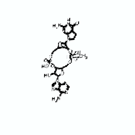 CO[PH]1(S)OCC2OC(n3cnc4c(N)ncnc43)C(O)C2OP(=O)(O)OCC2OC(N3CCc4c3nc(N)[nH]c4=O)C(O1)C2O